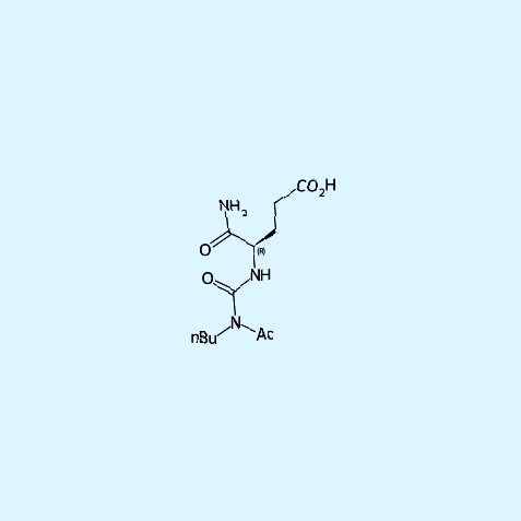 CCCCN(C(C)=O)C(=O)N[C@H](CCC(=O)O)C(N)=O